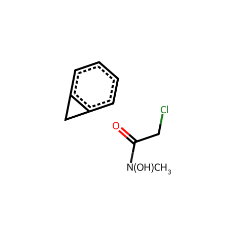 CN(O)C(=O)CCl.c1ccc2c(c1)C2